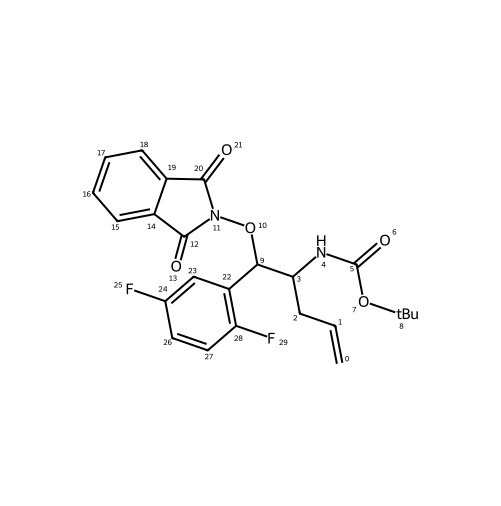 C=CCC(NC(=O)OC(C)(C)C)C(ON1C(=O)c2ccccc2C1=O)c1cc(F)ccc1F